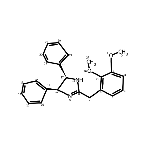 COc1cccc(CC2=N[C@@H](c3ccccc3)[C@@H](c3ccccc3)N2)c1OC